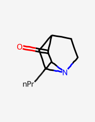 CCCC1C(=O)C2CCN1CC2